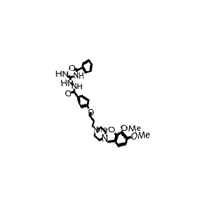 COc1ccc(CN2CCN(CCCOc3ccc(C(=O)NNC(=N)NC(=O)c4ccccc4)cc3)CC2)c(OC)c1OC